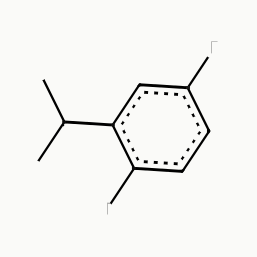 C[C](C)c1cc(F)ccc1I